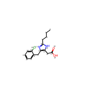 CCCCc1nc(Cc2ccccc2Cl)c(CC(=O)O)[nH]1